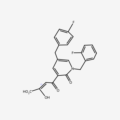 O=C(O)/C(O)=C/C(=O)c1cc(Cc2ccc(F)cc2)cn(Cc2ccccc2F)c1=O